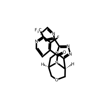 O=C(c1ccnc(C(F)(F)F)c1F)N1[C@H]2COC[C@@H]1c1nnc(-c3cscn3)n1C2